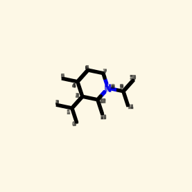 CC(C)C1C(C)CCN(C(C)C)C1C